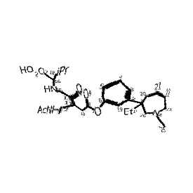 CCC1(c2cccc(OC(=O)CC(NC(C)=O)C(=O)NC(C(=O)O)C(C)C)c2)CCCCN(C)C1